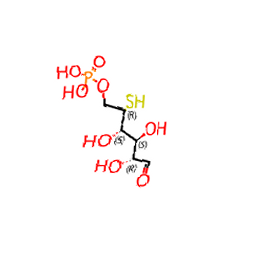 O=C[C@H](O)[C@H](O)[C@H](O)[C@H](S)COP(=O)(O)O